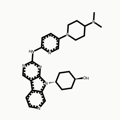 CN(C)C1CCN(c2ccc(Nc3ncc4c5ccncc5n([C@H]5CC[C@H](O)CC5)c4n3)nc2)CC1